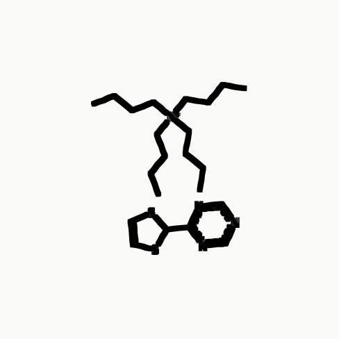 C1=CSC(c2ncncn2)S1.CCCC[N+](CCCC)(CCCC)CCCC